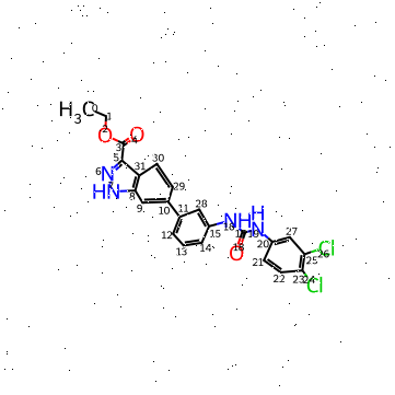 CCOC(=O)c1n[nH]c2cc(-c3cccc(NC(=O)Nc4ccc(Cl)c(Cl)c4)c3)ccc12